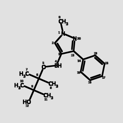 Cn1cc(BOC(C)(C)C(C)(C)O)c(-c2ccccc2)n1